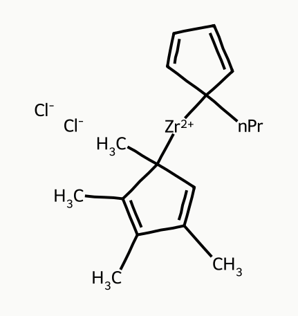 CCC[C]1([Zr+2][C]2(C)C=C(C)C(C)=C2C)C=CC=C1.[Cl-].[Cl-]